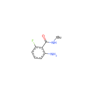 CC(C)(C)NC(=O)c1c(N)cccc1F